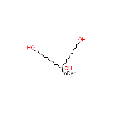 CCCCCCCCCCCC(O)(CCCCCCCCCCO)CCCCCCCCCCCO